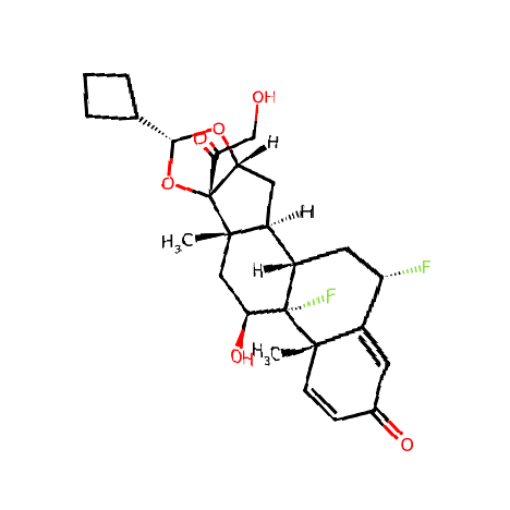 C[C@]12C=CC(=O)C=C1[C@@H](F)C[C@H]1[C@@H]3C[C@H]4O[C@@H](C5CCC5)O[C@@]4(C(=O)CO)[C@@]3(C)C[C@H](O)[C@@]12F